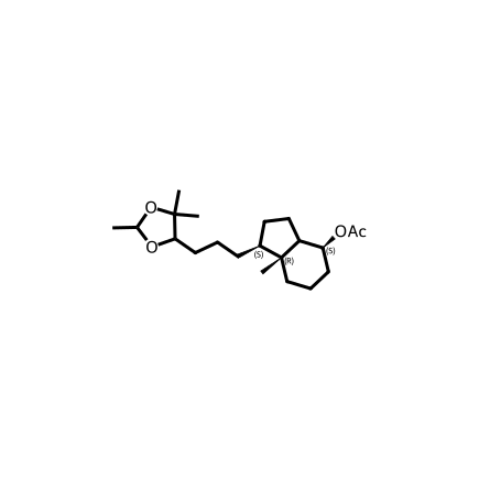 CC(=O)O[C@H]1CCC[C@@]2(C)C1CC[C@@H]2CCCC1OC(C)OC1(C)C